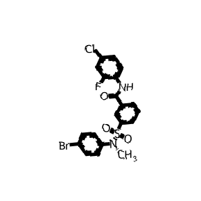 CN(c1ccc(Br)cc1)S(=O)(=O)c1cccc(C(=O)Nc2ccc(Cl)cc2F)c1